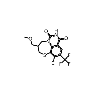 COCC1CSc2c(Cl)c(C(F)(F)F)cc3c(=O)[nH]c(=O)n(c23)C1